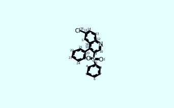 O=S(=O)(c1ccccc1)c1cnc2ccc(Cl)cc2c1-c1ccccc1